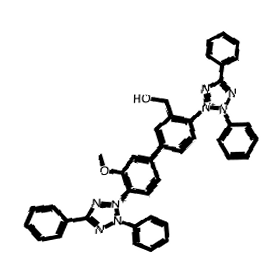 COc1cc(-c2ccc(-[n+]3nc(-c4ccccc4)nn3-c3ccccc3)c(CO)c2)ccc1-[n+]1nc(-c2ccccc2)nn1-c1ccccc1